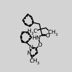 CCC(C)(Cc1ccccc1)C(=O)NOc1cc(C)nn1-c1ccccc1